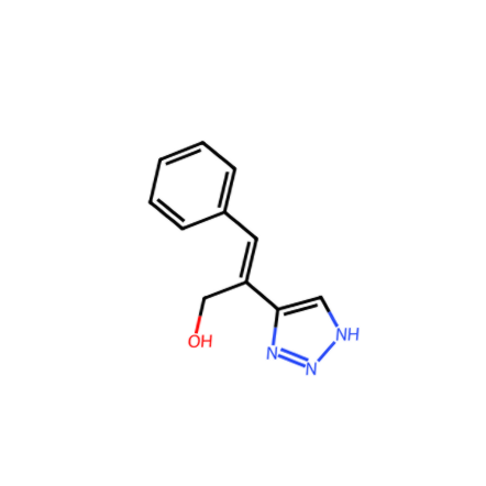 OCC(=Cc1ccccc1)c1c[nH]nn1